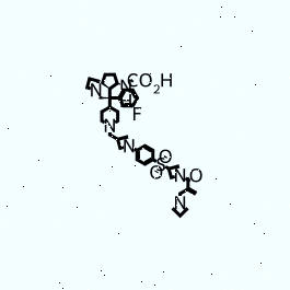 C=C(CN1CCC1)C(=O)N1CC(S(=O)(=O)c2ccc(N3CC(CN4CCC([C@@](CN5CCC5)(c5cccc(F)c5)[C@H]5CCC[C@@H]5NC(=O)O)CC4)C3)cc2)C1